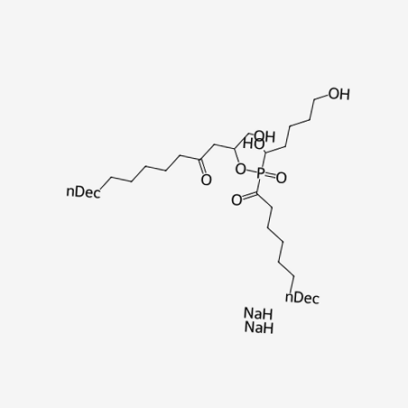 CCCCCCCCCCCCCCCC(=O)CC(CO)OP(=O)(C(=O)CCCCCCCCCCCCCCC)C(O)CCCCO.[NaH].[NaH]